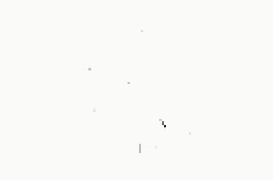 O=C(O)[C@@H]1COC(C(=O)O)(C(=O)O)O1